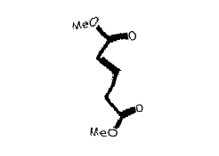 COC(=O)C=CCC(=O)OC